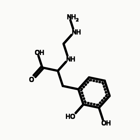 NNCNC(Cc1cccc(O)c1O)C(=O)O